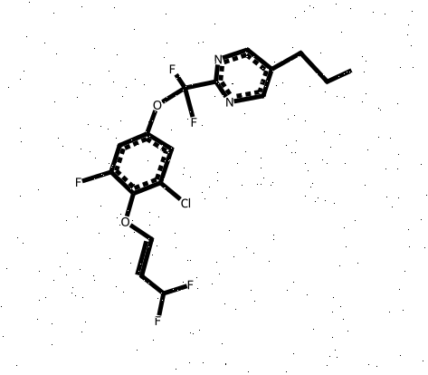 CCCc1cnc(C(F)(F)Oc2cc(F)c(O/C=C/C(F)F)c(Cl)c2)nc1